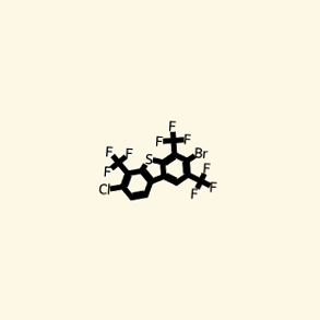 FC(F)(F)c1cc2c(sc3c(C(F)(F)F)c(Cl)ccc32)c(C(F)(F)F)c1Br